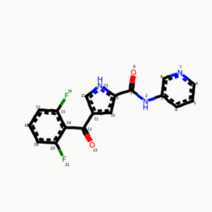 O=C(Nc1cccnc1)c1cc(C(=O)c2c(F)cccc2F)c[nH]1